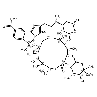 CC[C@H]1OC(=O)[C@H](C)[C@@H](O[C@H]2C[C@@](C)(OC)[C@@H](O)[C@H](C)O2)[C@H](C)[C@@H](O[C@@H]2O[C@H](C)C[C@H](N(C)CCc3cn([C@H](CF)[C@H](OC)c4ccc(C(=O)OC)cc4)nn3)[C@H]2O)[C@](C)(O)C[C@@H](C)CN(C)[C@H](C)[C@@H](O)[C@]1(C)O